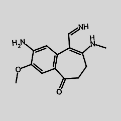 CNC1=C(C=N)c2cc(N)c(OC)cc2C(=O)CC1